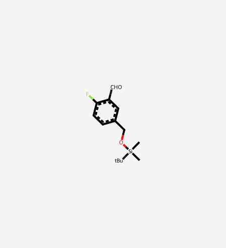 CC(C)(C)[Si](C)(C)OCc1ccc(F)c(C=O)c1